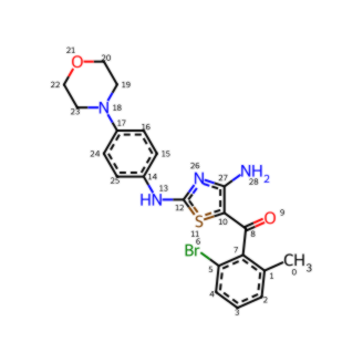 Cc1cccc(Br)c1C(=O)c1sc(Nc2ccc(N3CCOCC3)cc2)nc1N